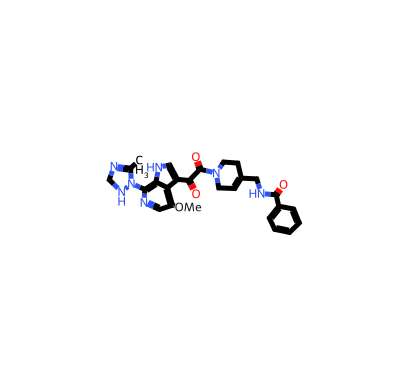 COc1cnc(N2NCN=C2C)c2[nH]cc(C(=O)C(=O)N3CC=C(CNC(=O)c4ccccc4)CC3)c12